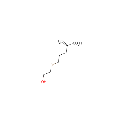 C=C(CCCSCCO)C(=O)O